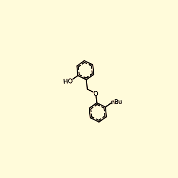 CCCCc1ccccc1OCc1ccccc1O